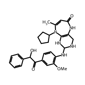 COc1cc(C(=O)C(O)c2ccccc2)ccc1NC1NCC2=C(N1)N(C1CCCC1)C(C)=CC(=O)N2